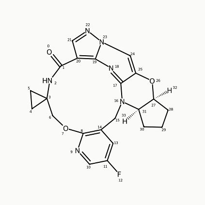 O=C1NC2(CC2)COc2ncc(F)cc2CN2c3nc4c1cnn4cc3O[C@H]1CCC[C@H]12